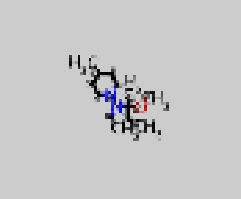 CCN(N1CCC(C)CC1)C(C)(CC)OC